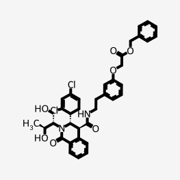 C[C@H](O)[C@H](CO)N1C(=O)c2ccccc2[C@H](C(=O)NCCc2cccc(OCC(=O)OCc3ccccc3)c2)[C@H]1C1CC=C(Cl)C=C1Cl